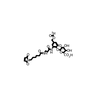 [2H]C(=O)OCc1ccc(OC2OC(C(=O)O)C(O)[C@H](O)[C@@H]2O)c(NC(=O)CCNC(=O)CCCCCN2C(=O)C=CC2=O)c1